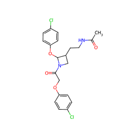 CC(=O)NCCC1CN(C(=O)COc2ccc(Cl)cc2)C1Oc1ccc(Cl)cc1